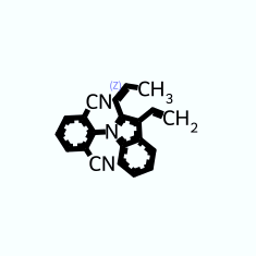 C=Cc1c(/C=C\C)n(-c2c(C#N)cccc2C#N)c2ccccc12